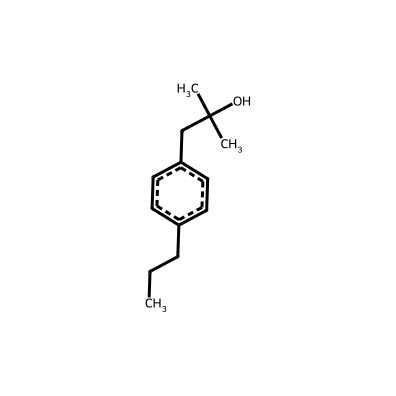 CCCc1ccc(CC(C)(C)O)cc1